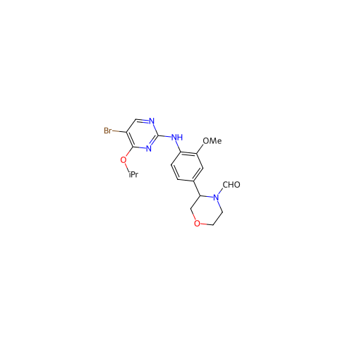 COc1cc(C2COCCN2C=O)ccc1Nc1ncc(Br)c(OC(C)C)n1